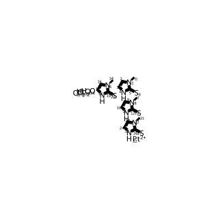 Cn1cc[nH]c1=S.Cn1cc[nH]c1=S.Cn1cc[nH]c1=S.Cn1cc[nH]c1=S.O.O.[Cl-].[Cl-].[Pt+2]